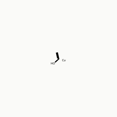 C=CO.[Cu]